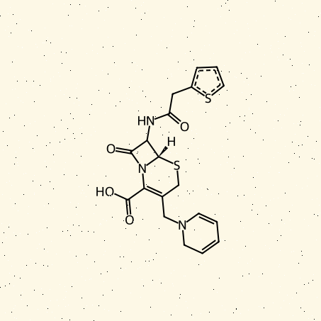 O=C(Cc1cccs1)NC1C(=O)N2C(C(=O)O)=C(CN3C=CC=CC3)CS[C@@H]12